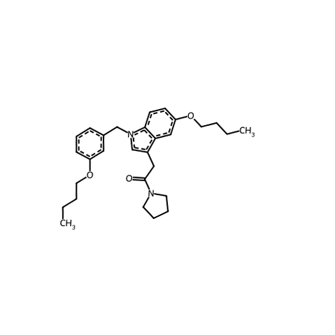 CCCCOc1cccc(Cn2cc(CC(=O)N3CCCC3)c3cc(OCCCC)ccc32)c1